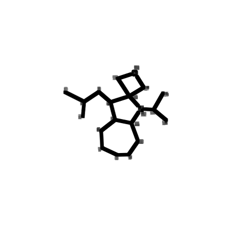 CC(C)CC1C2CCCCCC2N(C(C)C)C12COC2